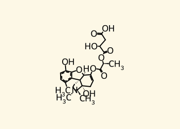 Cc1ccc(O)c2c1[C@]13CCN(C)[C@H](C)[C@]1(O)CC=C(OC(=O)[C@H](C)OC(=O)[C@@H](O)CC(=O)O)[C@@H]3O2